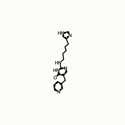 O=c1[nH]c(NCCCCCc2c[nH]cn2)ncc1Cc1cccnc1